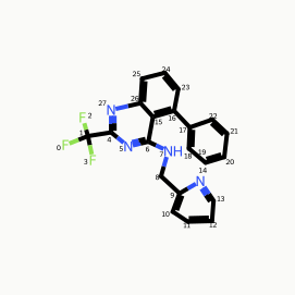 FC(F)(F)c1nc(NCc2ccccn2)c2c(-c3ccccc3)cccc2n1